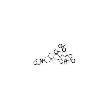 CC(=O)OC1C(c2ccc(=O)oc2)C2(CO)CCC3C(CCC4CC(N5CCOCC5)CCC43C)C23OC13